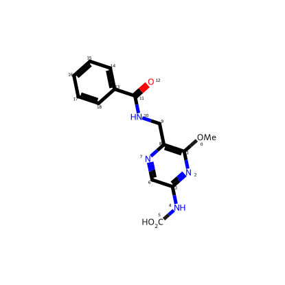 COc1nc(NC(=O)O)cnc1CNC(=O)c1ccccc1